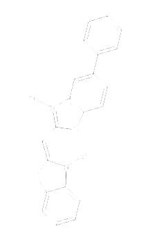 CCN1C(=Cc2oc3ccc(-c4ccccc4)cc3[n+]2CC)Sc2ccccc21